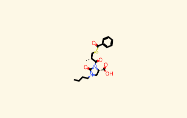 CCCCN1C[C@@H](C(=O)O)N(C(=O)[C@H](C)CSC(=O)c2ccccc2)C1=O